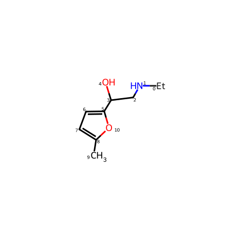 CCNCC(O)c1ccc(C)o1